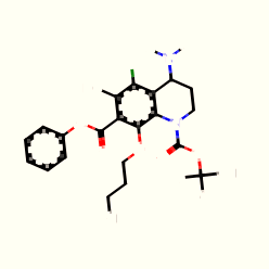 CCCCOc1c(C(=O)Oc2ccccc2)c(C)c(F)c2c1N(C(=O)OC(C)(C)C)CCC2N(C)C